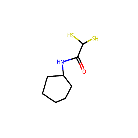 O=C(NC1CCCCC1)C(S)S